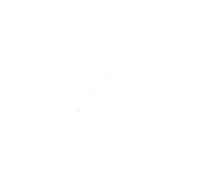 COCNC(=O)c1csc(Br)n1